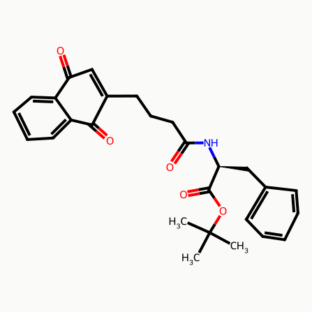 CC(C)(C)OC(=O)[C@H](Cc1ccccc1)NC(=O)CCCC1=CC(=O)c2ccccc2C1=O